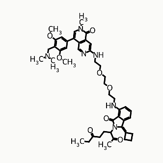 CCC(=O)CCC(C(C)=O)N1C(=O)c2c(NCCOCCOCCNc3cc4c(=O)n(C)cc(-c5cc(OC)c(CN(C)C)c(OC)c5)c4cn3)cccc2C1=C1CCC1